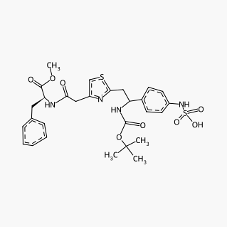 COC(=O)[C@H](Cc1ccccc1)NC(=O)Cc1csc(CC(NC(=O)OC(C)(C)C)c2ccc(NS(=O)(=O)O)cc2)n1